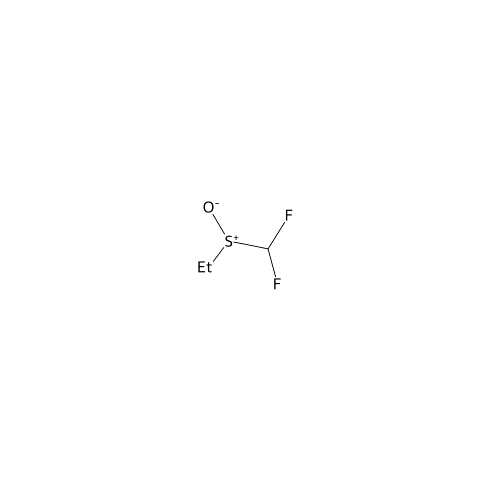 CC[S+]([O-])C(F)F